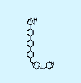 c1cc(CN2CCN(Cc3ccc(-c4ccc(-c5ccc(-c6cc[nH]n6)cc5)cc4)cc3)CC2)ccn1